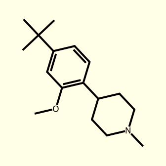 COc1cc(C(C)(C)C)ccc1C1CCN(C)CC1